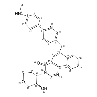 CNc1ccc(-c2ccc(Cc3cc4c(=O)n([C@H]5CCOC[C@@H]5O)cnc4c4ccccc34)cn2)cc1